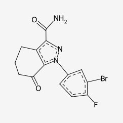 NC(=O)c1nn(-c2ccc(F)c(Br)c2)c2c1CCCC2=O